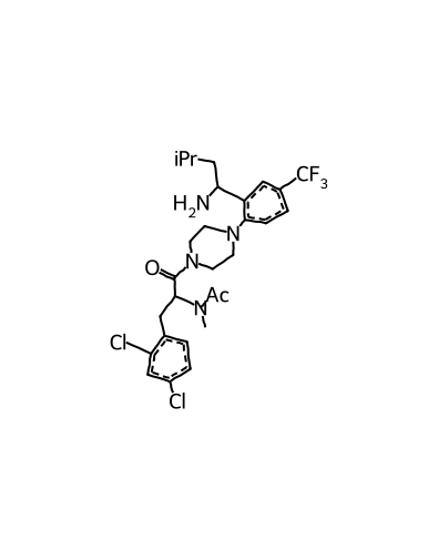 CC(=O)N(C)C(Cc1ccc(Cl)cc1Cl)C(=O)N1CCN(c2ccc(C(F)(F)F)cc2C(N)CC(C)C)CC1